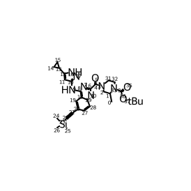 CC1CN(C(=O)c2nc(Nc3cc(C4CC4)[nH]n3)c3cc(C#C[Si](C)(C)C)ccc3n2)CCN1C(=O)OC(C)(C)C